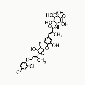 C/C(=C\c1ccc(O[C@@H]2O[C@H](/C(C)=C/COc3ccc(Cl)cc3Cl)[C@@H](O)[C@H]2F)c(O)c1)C(=O)N[C@@H]1[C@H](O)[C@@H](O)[C@H]2OCO[C@H]2[C@@H]1O